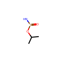 CC(C)OS([NH])=O